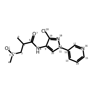 CC(C[S+](C)[O-])C(=O)Nc1cn(-c2cccnc2)nc1Cl